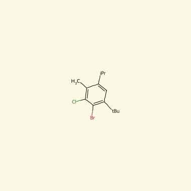 Cc1c(C(C)C)cc(C(C)(C)C)c(Br)c1Cl